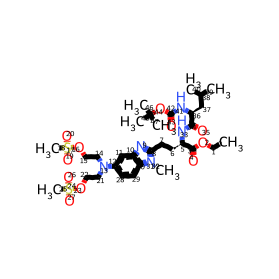 CCOC(=O)[C@H](CCc1nc2cc(N(CCOS(C)(=O)=O)CCOS(C)(=O)=O)ccc2n1C)NC(=O)[C@H](CC(C)C)NC(=O)OC(C)(C)C